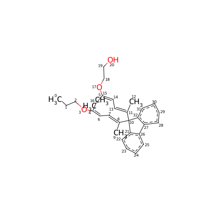 CCCO/C(C)=C/C=C(\C)C1(/C(C)=C/C=C(\C)OCCO)c2ccccc2-c2ccccc21